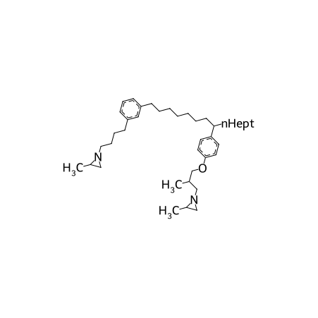 CCCCCCCC(CCCCCCCc1cccc(CCCCN2CC2C)c1)c1ccc(OCC(C)CN2CC2C)cc1